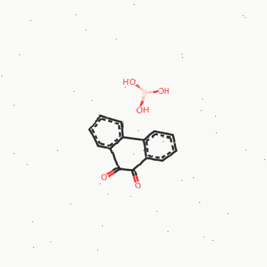 O=C1C(=O)c2ccccc2-c2ccccc21.OB(O)O